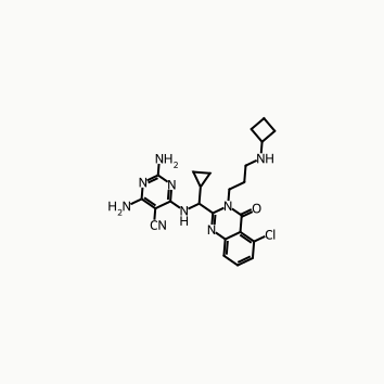 N#Cc1c(N)nc(N)nc1NC(c1nc2cccc(Cl)c2c(=O)n1CCCNC1CCC1)C1CC1